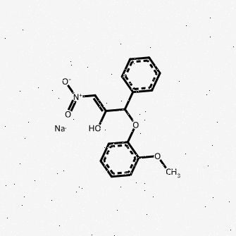 COc1ccccc1OC(C(O)=C[N+](=O)[O-])c1ccccc1.[Na]